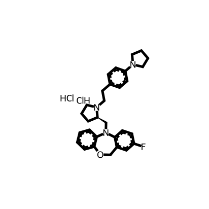 Cl.Cl.Fc1ccc2c(c1)COc1ccccc1N2C[C@H]1CCCN1CCc1ccc(N2CCCC2)cc1